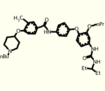 CCCCN1CCC(Oc2ccc(C(=O)Nc3ccc(Oc4ccc(NC(=O)NC(CC)CC)cc4OCCC)cc3)cc2C)CC1